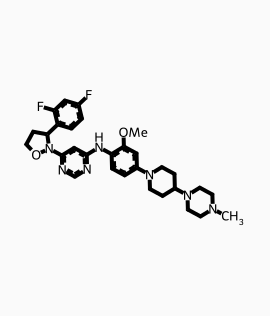 COc1cc(N2CCC(N3CCN(C)CC3)CC2)ccc1Nc1cc(N2OCCC2c2ccc(F)cc2F)ncn1